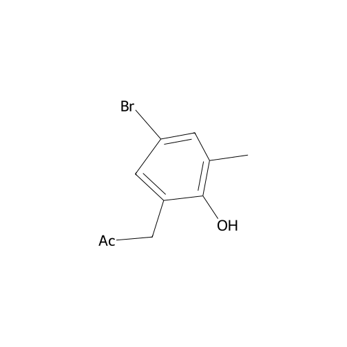 CC(=O)Cc1cc(Br)cc(C)c1O